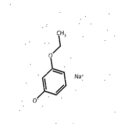 CCOc1cccc([O-])c1.[Na+]